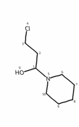 OC(CCCl)N1CCCCC1